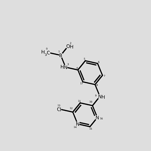 CB(O)Nc1cccc(Nc2cc(Cl)ncn2)c1